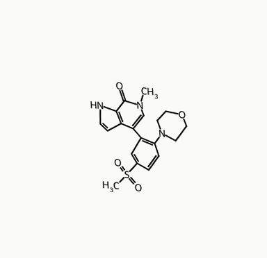 Cn1cc(-c2cc(S(C)(=O)=O)ccc2N2CCOCC2)c2cc[nH]c2c1=O